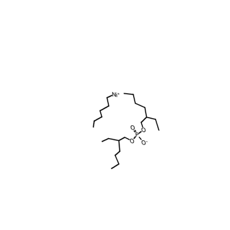 CCCCC(CC)COP(=O)([O-])OCC(CC)CCCC.CCCCC[CH2][Ni+]